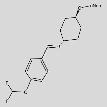 CCCCCCCCCO[C@H]1CC[C@H](C=Cc2ccc(OC(F)F)cc2)CC1